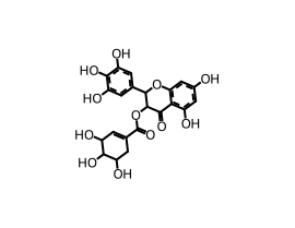 O=C(OC1C(=O)c2c(O)cc(O)cc2OC1c1cc(O)c(O)c(O)c1)C1=CC(O)C(O)C(O)C1